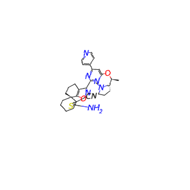 C[C@H](Oc1cc(-c2ccncc2)nc(-c2noc3c2CCC[C@@]32CCCc3sc(N)c(C#N)c32)n1)[C@@H]1CCCN1C